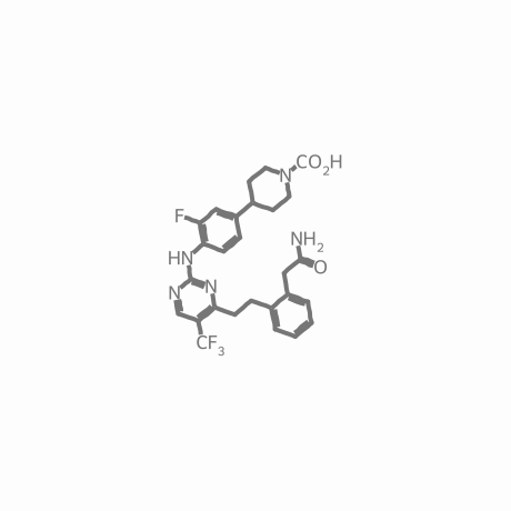 NC(=O)Cc1ccccc1CCc1nc(Nc2ccc(C3CCN(C(=O)O)CC3)cc2F)ncc1C(F)(F)F